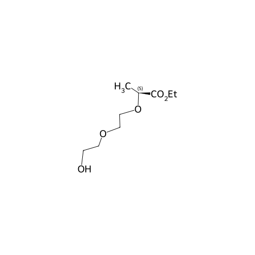 CCOC(=O)[C@H](C)OCCOCCO